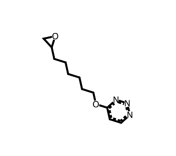 c1cc(OCCCCCCC2CO2)nnn1